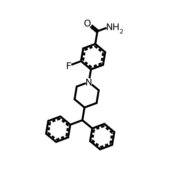 NC(=O)c1ccc(N2CCC(C(c3ccccc3)c3ccccc3)CC2)c(F)c1